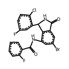 O=C(Nc1cc(Br)cc2c1C(c1cc(F)ccc1Cl)NC2=O)c1ccccc1F